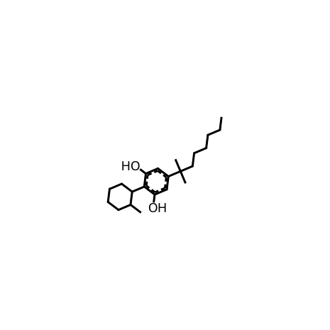 CCCCCCC(C)(C)c1cc(O)c(C2CCCCC2C)c(O)c1